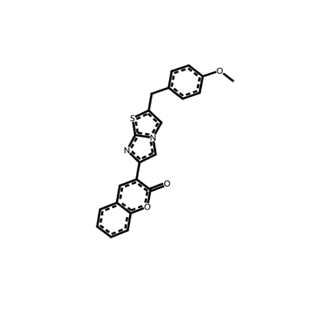 COc1ccc(Cc2cn3cc(-c4cc5ccccc5oc4=O)nc3s2)cc1